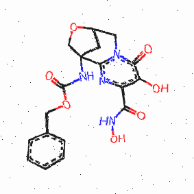 O=C(NC12COC(Cn3c1nc(C(=O)NO)c(O)c3=O)C2)OCc1ccccc1